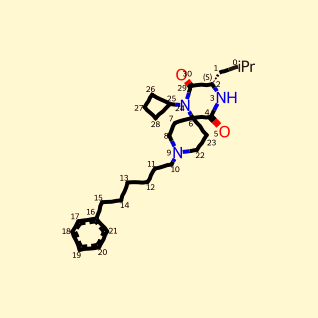 CC(C)C[C@@H]1NC(=O)C2(CCN(CCCCCCc3ccccc3)CC2)N(C2CCC2)C1=O